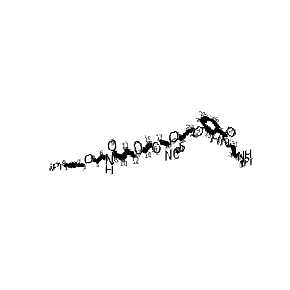 CC(C)C#CCOCCNC(=O)CCCOCCOCCOC(COc1cccc(C(=O)NCCNC(C)C)c1)SC#N